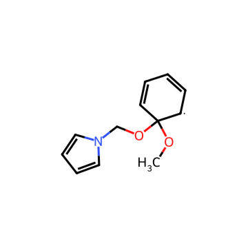 COC1(OCn2cccc2)[CH]C=CC=C1